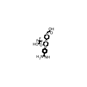 N=C(N)c1ccc(N2CCN(C3CCN(CC(=O)O)CC3)CC2)cc1.O=C(O)C(F)(F)F